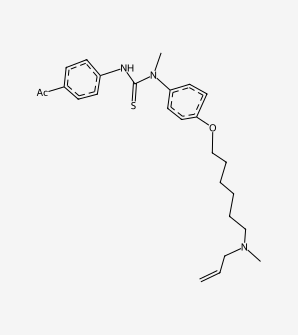 C=CCN(C)CCCCCCOc1ccc(N(C)C(=S)Nc2ccc(C(C)=O)cc2)cc1